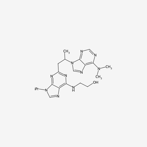 CC(C)n1cnc2c(NCCO)nc(CC(C)n3cnc4c(N(C)C)ncnc43)nc21